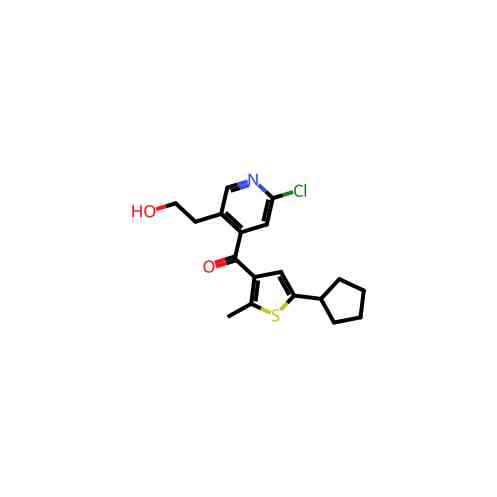 Cc1sc(C2CCCC2)cc1C(=O)c1cc(Cl)ncc1CCO